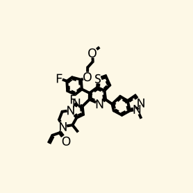 C=CC(=O)N1CCn2nc(-c3nc(-c4ccc5c(cnn5C)c4)c4ccsc4c3-c3c(F)cc(F)cc3OCCOC)cc2C1C